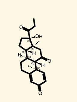 CCC(=O)[C@@]1(O)CC[C@H]2[C@@H]3CCC4=CC(=O)C=C[C@]4(C)[C@H]3C(=O)C[C@@]21C